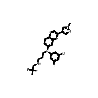 Cn1cc(-c2cnc3ccc(N(CCCNCC(C)(F)F)c4cc(Cl)cc(Cl)c4)cc3n2)cn1